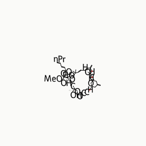 C=C1C[C@H]2CCCC(=O)O[C@@H]([C@@H](C)O)C[C@@H]3C/C(=C\C(=O)OC)[C@H](OC(=O)/C=C/C=C/CCC)[C@@](O)(O3)C(C)(C)/C=C/[C@H]3CC(=C)C[C@@H](C[C@@H](C1)O2)O3